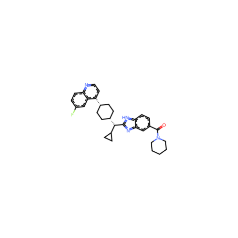 O=C(c1ccc2[nH]c(C(C3CC3)[C@H]3CC[C@@H](c4ccnc5ccc(F)cc54)CC3)nc2c1)N1CCCCC1